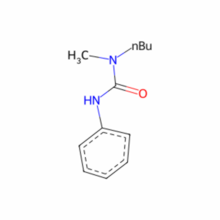 CCCCN(C)C(=O)Nc1ccccc1